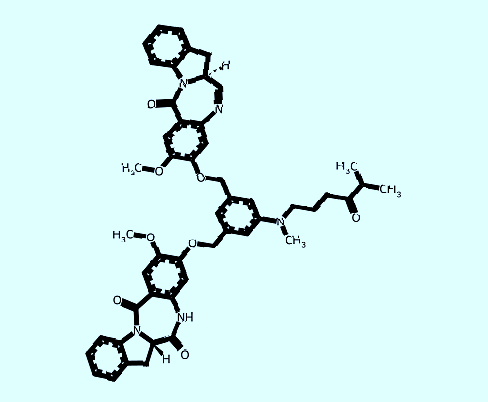 COc1cc2c(cc1OCc1cc(COc3cc4c(cc3OC)C(=O)N3c5ccccc5C[C@H]3C(=O)N4)cc(N(C)CCCC(=O)C(C)C)c1)N=C[C@@H]1Cc3ccccc3N1C2=O